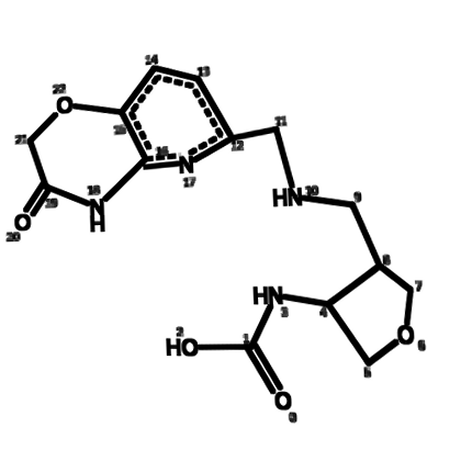 O=C(O)NC1COCC1CNCc1ccc2c(n1)NC(=O)CO2